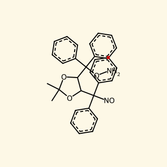 CC1(C)OC(C(N=O)(c2ccccc2)c2ccccc2)C(C(ON)(c2ccccc2)c2ccccc2)O1